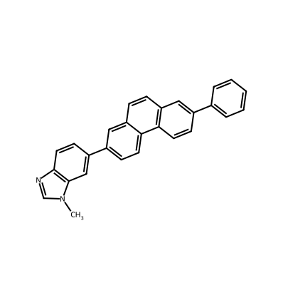 Cn1cnc2ccc(-c3ccc4c(ccc5cc(-c6ccccc6)ccc54)c3)cc21